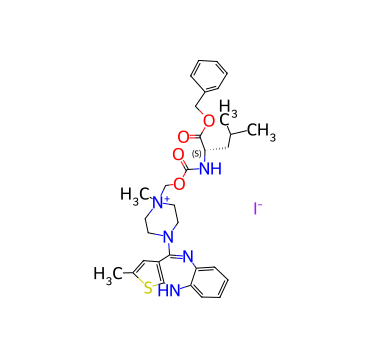 Cc1cc2c(s1)Nc1ccccc1N=C2N1CC[N+](C)(COC(=O)N[C@@H](CC(C)C)C(=O)OCc2ccccc2)CC1.[I-]